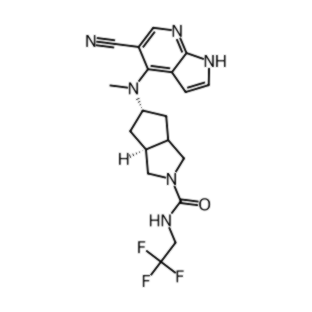 CN(c1c(C#N)cnc2[nH]ccc12)[C@@H]1CC2CN(C(=O)NCC(F)(F)F)C[C@H]2C1